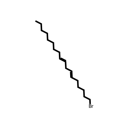 CCCCCCCCC=CCC=CCCCCCBr